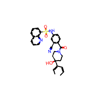 C/C=C\C(=C/C)C1(O)CCN(C(=O)c2ccc(NS(=O)(=O)c3cccc4cccnc34)cc2C#N)CC1